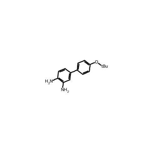 CC(C)(C)Oc1ccc(-c2ccc(N)c(N)c2)cc1